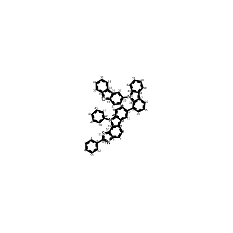 c1ccc(-c2nc3ccc4c5cc(-c6cccc7c8ccccc8n(-c8ccc9oc%10ccccc%10c9c8)c67)ccc5n(-c5ccccc5)c4c3s2)cc1